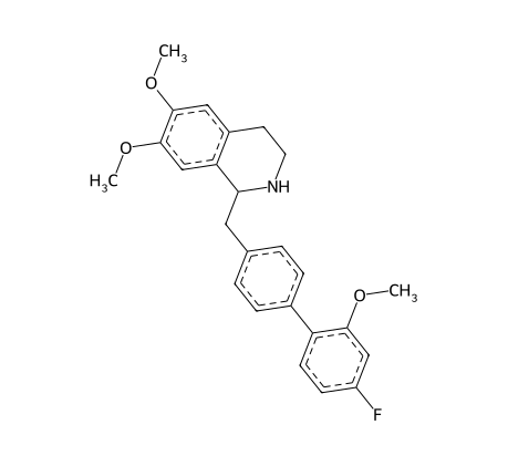 COc1cc2c(cc1OC)C(Cc1ccc(-c3ccc(F)cc3OC)cc1)NCC2